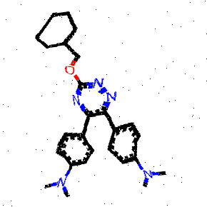 CN(C)c1ccc(-c2nnc(OCC3CCCCC3)nc2-c2ccc(N(C)C)cc2)cc1